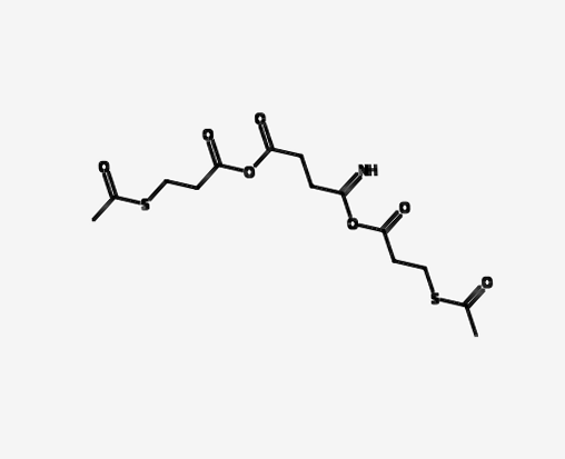 CC(=O)SCCC(=O)OC(=N)CCC(=O)OC(=O)CCSC(C)=O